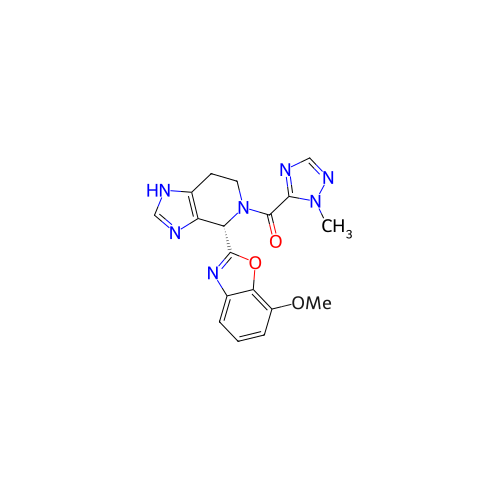 COc1cccc2nc([C@@H]3c4nc[nH]c4CCN3C(=O)c3ncnn3C)oc12